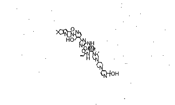 C=CC(=O)Nc1cc(Nc2nc(-c3ccnc(N4CCn5c(cc6c5CC(C)(C)C6)C4=O)c3CO)cnc2OC)ccc1N1CCN(C2CCN(c3ccnc(C(C)(C)O)c3)CC2)C[C@@H]1C